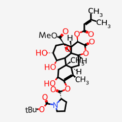 COC(=O)[C@]12C[C@@H](O)[C@H](O)C3[C@]4(CO1)[C@H]2[C@@H](OC(=O)C=C(C)C)C(=O)O[C@@H]4C[C@H]1C(C)=C(OC(=O)[C@@H]2CCCN2C(=O)OC(C)(C)C)C(O)C[C@]31C